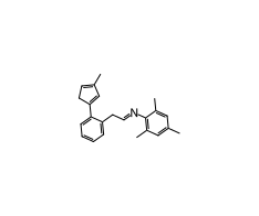 CC1=CCC(c2ccccc2CC=Nc2c(C)cc(C)cc2C)=C1